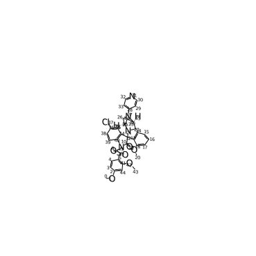 COc1ccc(S(=O)(=O)N2C(=O)C(c3ccccc3OC)(N3C[C@H]4C[C@@H]3CN4c3ccncc3)c3cc(Cl)ccc32)c(OC)c1